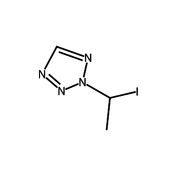 CC(I)n1ncnn1